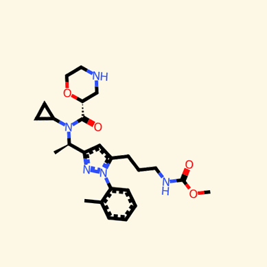 COC(=O)NCCCc1cc([C@@H](C)N(C(=O)[C@H]2CNCCO2)C2CC2)nn1-c1ccccc1C